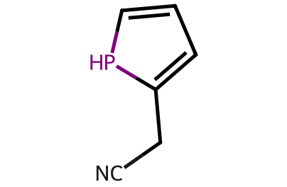 N#CCc1ccc[pH]1